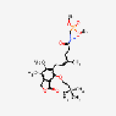 CCOP(=O)(CNC(=O)CCC(C)=CCc1c(OC)c(C)c2c(c1OCC[Si](C)(C)C)C(=O)OC2)OCC